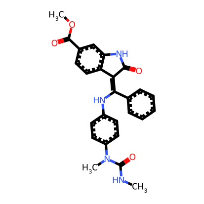 CNC(=O)N(C)c1ccc(NC(=C2C(=O)Nc3cc(C(=O)OC)ccc32)c2ccccc2)cc1